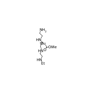 CCNCCNCCNCCN.COC(=O)C(C)(C)C